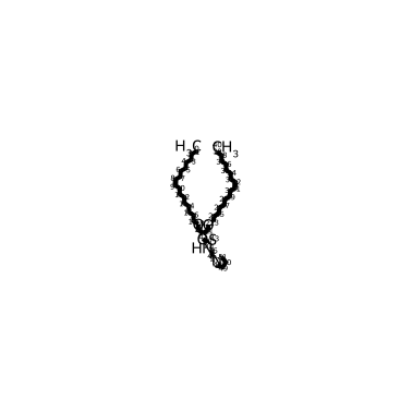 CCCCCCCC/C=C\CCCCCCCCOCC(COCCCCCCCC/C=C\CCCCCCCC)OC(=S)NCCN1CCCC1